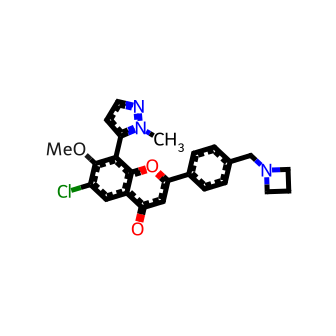 COc1c(Cl)cc2c(=O)cc(-c3ccc(CN4CCC4)cc3)oc2c1-c1ccnn1C